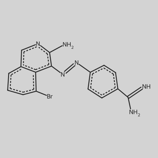 N=C(N)c1ccc(/N=N/c2c(N)ncc3cccc(Br)c23)cc1